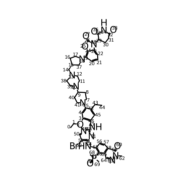 CCOc1cc(N2CCC(N3CCN(C[C@H]4CCN(c5cccc6c5oc(=O)n6C5CCC(=O)NC5=O)C4)CC3)CC2)c(CC)cc1Nc1ncc(Br)c(Nc2ccc3c(=O)n(C)ncc3c2P(C)(C)=O)n1